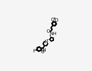 O=C(/C=C/c1ccc2c(c1)OCO2)NC[C@H]1CCC[C@@H]1CN1CCC(c2noc3cc(F)ccc23)CC1